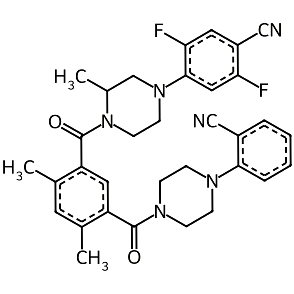 Cc1cc(C)c(C(=O)N2CCN(c3cc(F)c(C#N)cc3F)CC2C)cc1C(=O)N1CCN(c2ccccc2C#N)CC1